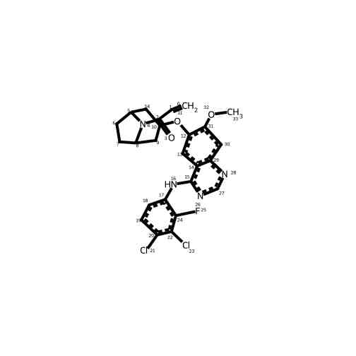 C=CC(=O)N1C2CCC1CC(Oc1cc3c(Nc4ccc(Cl)c(Cl)c4F)ncnc3cc1OC)C2